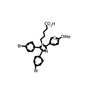 COc1ccc(-c2nc(-c3ccc(Br)cc3)c(-c3ccc(Br)cc3)n2CCCCC(=O)O)cc1